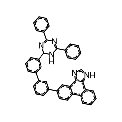 c1ccc(C2=NC(c3cccc(-c4cccc(-c5ccc6c7ccccc7c7[nH]cnc7c6c5)c4)c3)NC(c3ccccc3)=N2)cc1